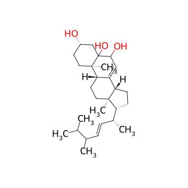 CC(C)C(C)C=C[C@@H](C)[C@H]1CC[C@H]2C3=CC(O)C4(O)C[C@@H](O)CC[C@]4(C)[C@H]3CC[C@]12C